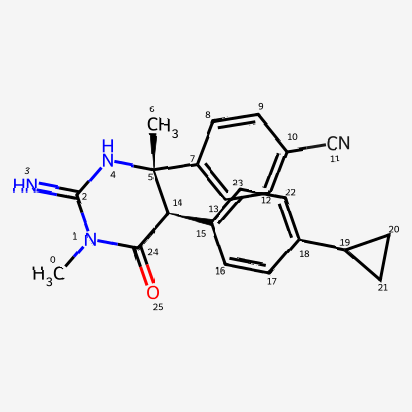 CN1C(=N)N[C@](C)(c2ccc(C#N)cc2)[C@@H](c2ccc(C3CC3)cc2)C1=O